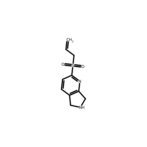 C=CCS(=O)(=O)c1ccc2c(n1)CNC2